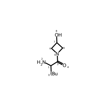 CC(C)(C)C(N)C(=O)N1CC(O)C1